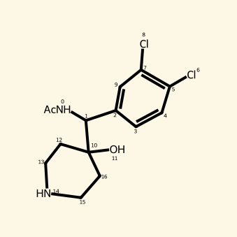 CC(=O)NC(c1ccc(Cl)c(Cl)c1)C1(O)CCNCC1